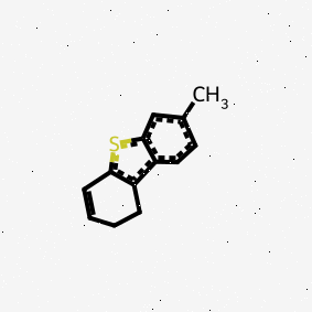 Cc1ccc2c3c(sc2c1)C=CCC3